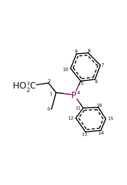 CC(CC(=O)O)P(c1ccccc1)c1ccccc1